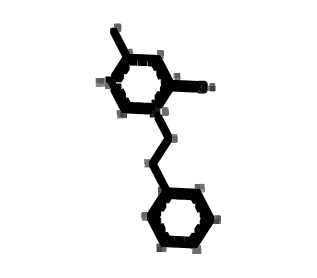 Cc1cc(=O)n(CCc2ccccc2)cn1